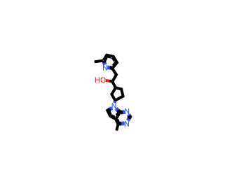 Cc1cccc(CC(O)C2CCC(n3ccc4c(C)ncnc43)C2)n1